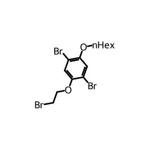 CCCCCCOc1cc(Br)c(OCCBr)cc1Br